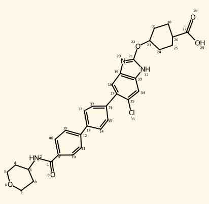 O=C(NC1CCOCC1)c1ccc(-c2ccc(-c3cc4nc(OC5CCC(C(=O)O)CC5)[nH]c4cc3Cl)cc2)cc1